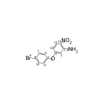 Nc1cc(Oc2ccc(Br)cc2)ccc1[N+](=O)[O-]